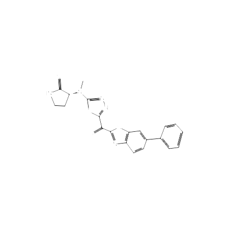 CN(c1nnc(C(=O)c2nc3ccc(-c4ccccc4)cc3s2)o1)[C@H]1CCNC1=O